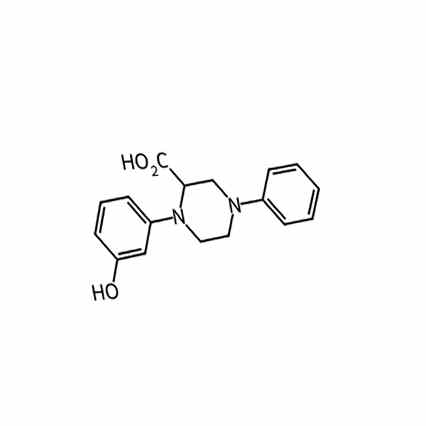 O=C(O)C1CN(c2ccccc2)CCN1c1cccc(O)c1